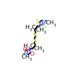 CCN1CC(=O)N(CCC(C)(C)CCSCCSCCC(C)(C)CCN2C(=S)CN(CC)C2=S)C1=O